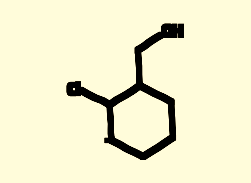 OCC1CCC[CH]C1Cl